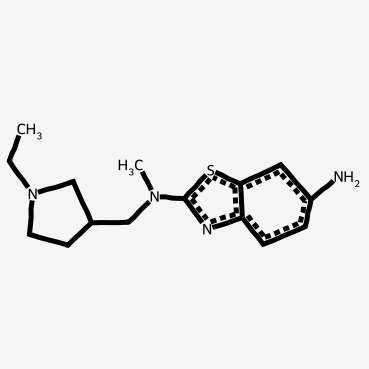 CCN1CCC(CN(C)c2nc3ccc(N)cc3s2)C1